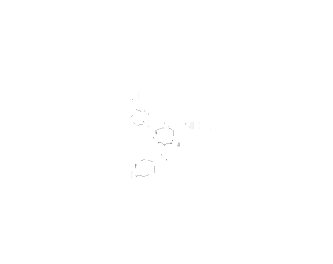 FCC(Nc1nc(Nc2ccncc2)nc(-n2ccc(C(F)(F)F)n2)n1)C(F)F